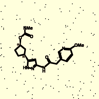 CNC(=O)O[C@@H]1CC[C@H](c2cc(NC(=O)Cc3ccc(OC)nc3)n[nH]2)C1